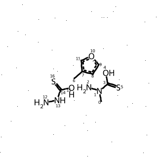 CN(N)C(O)=S.Cc1ccoc1.NNC(O)=S